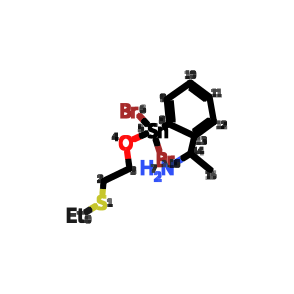 CCSCC[O][Sn]([Br])([Br])[c]1ccccc1C(C)N